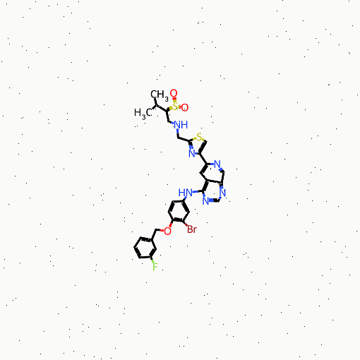 CC(C)C(CNCc1nc(-c2cc3c(Nc4ccc(OCc5cccc(F)c5)c(Br)c4)ncnc3cn2)cs1)=S(=O)=O